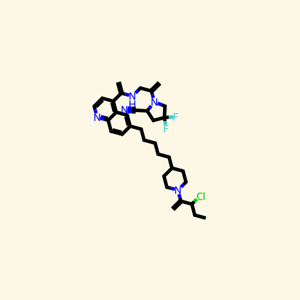 C=C(NCC(=C)N1CC(F)(F)CC1C#N)c1ccnc2ccc(CCCCCC3CCN(C(=C)C(Cl)CC)CC3)cc12